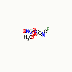 COCCOCC12Cc3cnn(-c4ccc(F)cc4)c3C=C1CCN(S(=O)(=O)c1ccc(N3CCOCC3)nc1)C2